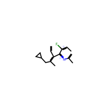 C=CC(=C(C)CC1CC1)C(=N/C(=C)C)/C(F)=C\C